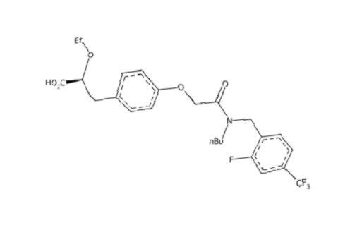 CCCCN(Cc1ccc(C(F)(F)F)cc1F)C(=O)COc1ccc(C[C@H](OCC)C(=O)O)cc1